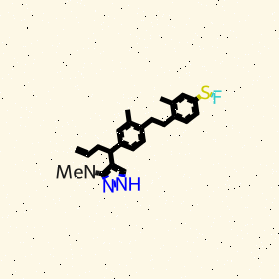 C=CCC(c1ccc(CCc2ccc(SF)cc2C)c(C)c1)c1c[nH]nc1NC